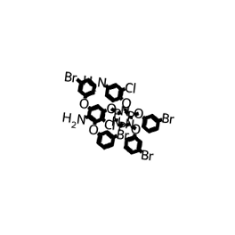 Nc1ccc(On2p(Oc3cc(Oc4cccc(Br)c4)c(N)c(Oc4cccc(Br)c4)c3Cl)npn(Oc3cccc(Br)c3)p2Oc2cccc(Br)c2)c(Cl)c1